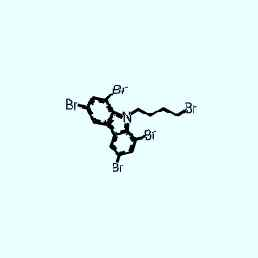 BrCCCCn1c2c(Br)cc(Br)cc2c2cc(Br)cc(Br)c21